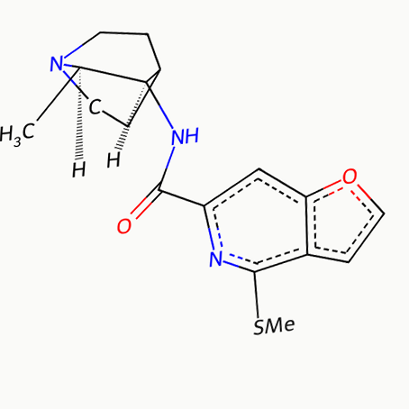 CSc1nc(C(=O)N[C@@H]2C3CCN(CC3)[C@@H]2C)cc2occc12